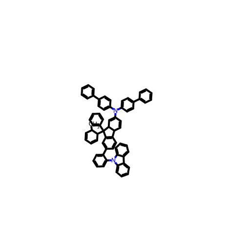 CC1C=CC=CC1C1(c2ccccc2)c2cc(-c3ccccc3-n3c4ccccc4c4ccccc43)ccc2C2C=CC(N(c3ccc(-c4ccccc4)cc3)c3ccc(-c4ccccc4)cc3)=CC21